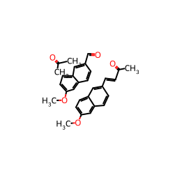 CC(C)=O.COc1ccc2cc(C=CC(C)=O)ccc2c1.COc1ccc2cc(C=O)ccc2c1